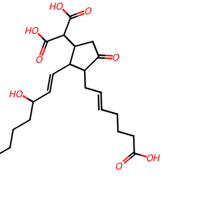 CCCCCC(O)C=CC1C(CC=CCCCC(=O)O)C(=O)CC1C(C(=O)O)C(=O)O